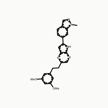 COc1cc(CCc2cnc3[nH]c(-c4ccc5cnn(C)c5c4)cc3n2)cc(OC)c1